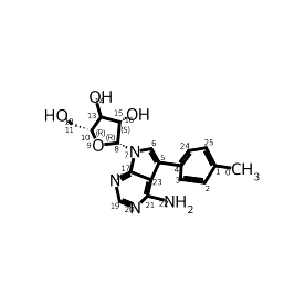 Cc1ccc(-c2cn([C@@H]3O[C@H](CO)C(O)[C@@H]3O)c3ncnc(N)c23)cc1